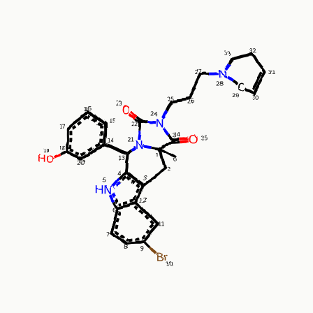 CC12Cc3c([nH]c4ccc(Br)cc34)C(c3cccc(O)c3)N1C(=O)N(CCCN1CC=CCC1)C2=O